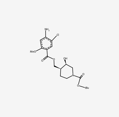 COc1cc(N)c(Cl)cc1C(=O)OC[C@@H]1CCN(C(=O)OC(C)(C)C)C[C@@H]1O